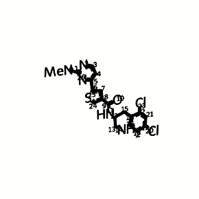 CNc1nccc(-c2cc(C(=O)NC(CN)Cc3ccc(Cl)cc3Cl)cs2)n1